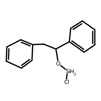 Cl[SiH2]OC(Cc1ccccc1)c1ccccc1